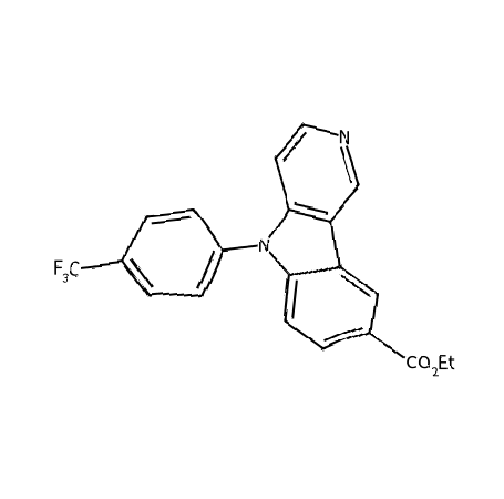 CCOC(=O)c1ccc2c(c1)c1cnccc1n2-c1ccc(C(F)(F)F)cc1